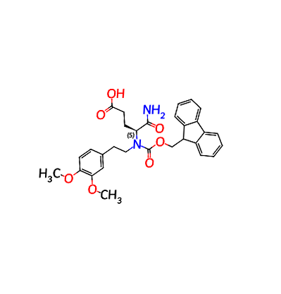 COc1ccc(CCN(C(=O)OCC2c3ccccc3-c3ccccc32)[C@@H](CCC(=O)O)C(N)=O)cc1OC